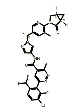 Cc1cc([C@@H](C)n2cc(NC(=O)c3cc(-c4c(C(F)F)ccc(Cl)c4F)nnc3C)cn2)cnc1N1C[C@H]2C[C@H]2C1=O